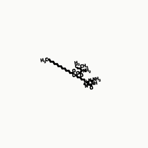 CCCCCCCCCCCCCC(=O)OCCC(CCn1cnc2c(=O)[nH]c(N)nc21)OC(=O)[C@@H](N)[C@@H](C)CC